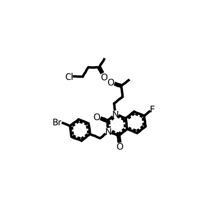 CC(=O)CCCl.CC(=O)CCn1c(=O)n(Cc2ccc(Br)cc2)c(=O)c2ccc(F)cc21